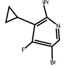 CC(C)c1ncc(Br)c(F)c1C1CC1